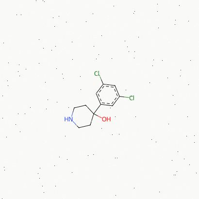 OC1(c2cc(Cl)cc(Cl)c2)CCNCC1